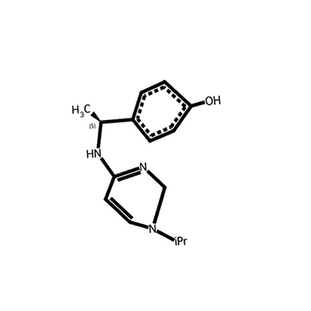 CC(C)N1C=CC(N[C@@H](C)c2ccc(O)cc2)=NC1